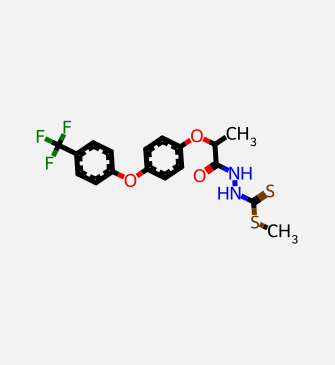 CSC(=S)NNC(=O)C(C)Oc1ccc(Oc2ccc(C(F)(F)F)cc2)cc1